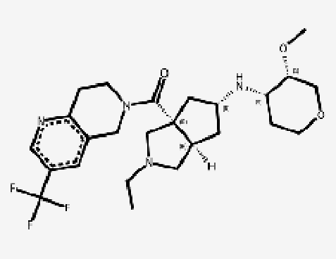 CCN1C[C@@H]2C[C@@H](N[C@H]3CCOC[C@H]3OC)C[C@]2(C(=O)N2CCc3ncc(C(F)(F)F)cc3C2)C1